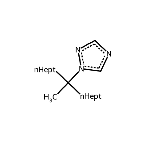 CCCCCCCC(C)(CCCCCCC)n1cncn1